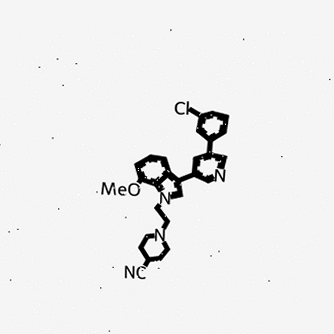 COc1cccc2c(-c3cncc(-c4cccc(Cl)c4)c3)cn(CCN3CCC(C#N)CC3)c12